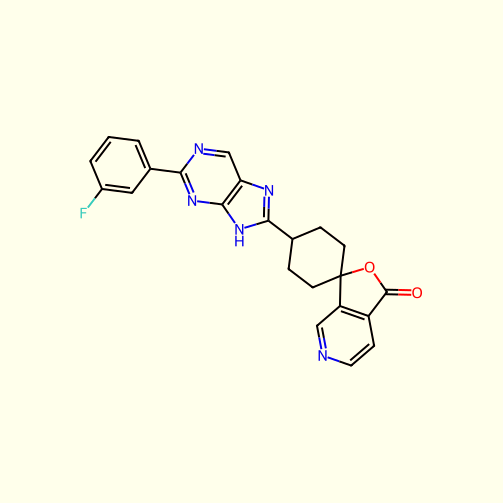 O=C1OC2(CCC(c3nc4cnc(-c5cccc(F)c5)nc4[nH]3)CC2)c2cnccc21